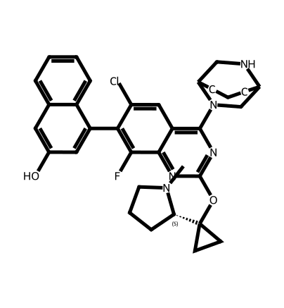 CN1CCC[C@H]1C1(Oc2nc(N3CC4CCCC3CN4)c3cc(Cl)c(-c4cc(O)cc5ccccc45)c(F)c3n2)CC1